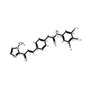 Cn1ccnc1C(=O)/C=C/c1ccc(CC(=O)Nc2cc(F)c(F)c(F)c2)cc1